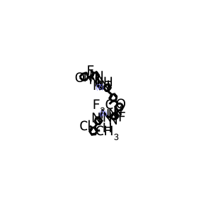 Cc1cccc(Cl)c1-c1ccc(/C=N\Nc2ncc(F)c(N3CCOC(c4ccc(-c5ccnc(/C=N\Nc6ncc(F)c(N7CCOCC7)n6)c5)cc4C(F)(F)F)C3)n2)nc1